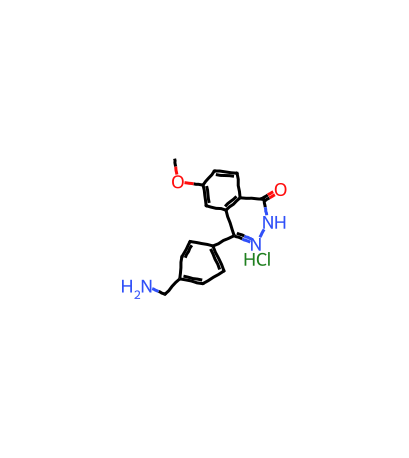 COc1ccc2c(=O)[nH]nc(-c3ccc(CN)cc3)c2c1.Cl